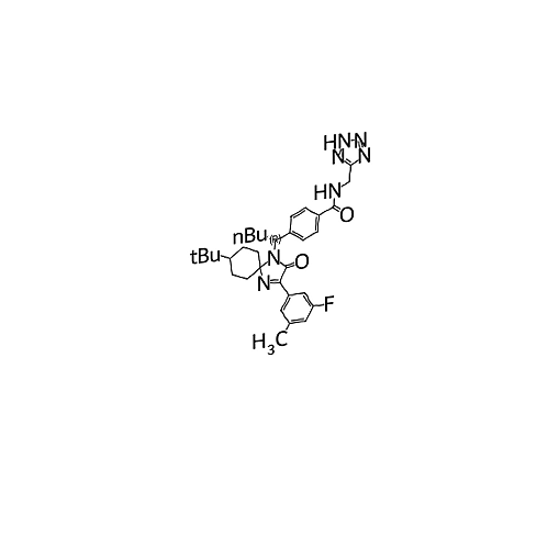 CCCC[C@H](c1ccc(C(=O)NCc2nn[nH]n2)cc1)N1C(=O)C(c2cc(C)cc(F)c2)=NC12CCC(C(C)(C)C)CC2